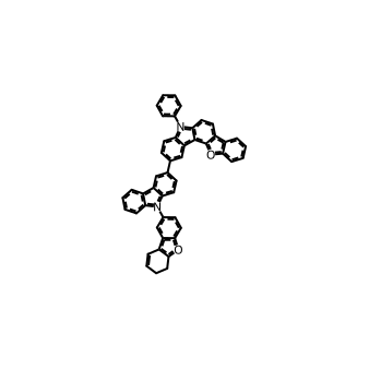 C1=Cc2c(oc3ccc(-n4c5ccccc5c5cc(-c6ccc7c(c6)c6c8oc9ccccc9c8ccc6n7-c6ccccc6)ccc54)cc23)CC1